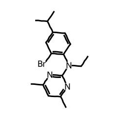 CCN(c1nc(C)cc(C)n1)c1ccc(C(C)C)cc1Br